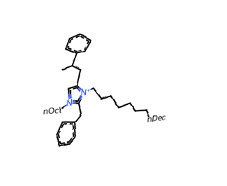 CCCCCCCCCCCCCCCCC[n+]1c(CC(C)c2ccccc2)cn(CCCCCCCC)c1Cc1ccccc1